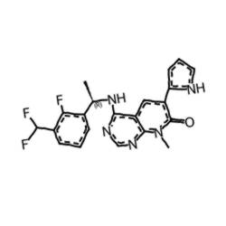 C[C@@H](Nc1ncnc2c1cc(-c1ccc[nH]1)c(=O)n2C)c1cccc(C(F)F)c1F